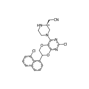 N#CC[C@H]1CN(c2nc(Cl)nc3c2OCC(c2cccc4cccc(Cl)c24)O3)CCN1